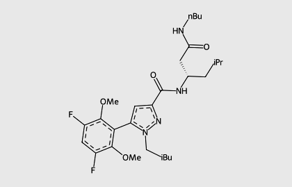 CCCCNC(=O)C[C@H](CC(C)C)NC(=O)c1cc(-c2c(OC)c(F)cc(F)c2OC)n(CC(C)CC)n1